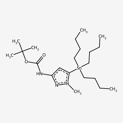 CCC[CH2][Sn]([CH2]CCC)([CH2]CCC)[c]1cc(NC(=O)OC(C)(C)C)nn1C